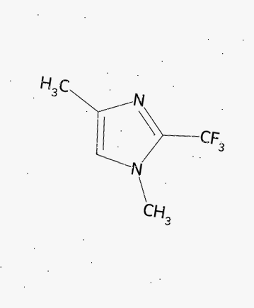 Cc1cn(C)c(C(F)(F)F)n1